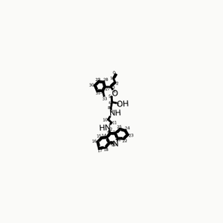 C=C/C=C(/OCC(O)CNCCNc1c2ccccc2nc2ccccc12)c1ccccc1C